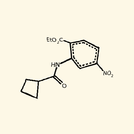 CCOC(=O)c1ccc([N+](=O)[O-])cc1NC(=O)C1CCC1